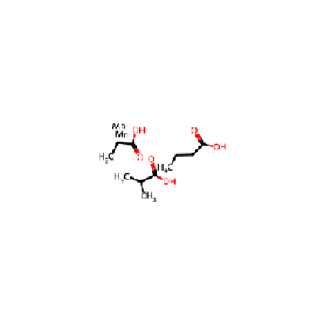 CC(C)C(=O)O.CCC(=O)O.CCCC(=O)O.[Mn].[Mn]